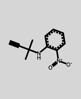 C#CC(C)(C)Nc1ccccc1[N+](=O)[O-]